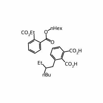 CCCCC(CC)Cc1cccc(C(=O)O)c1C(=O)O.CCCCCCOC(=O)c1ccccc1C(=O)OCC